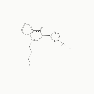 CCCCCn1nc(-c2ncc(C(C)(C)C)s2)c(=S)c2ccccc21